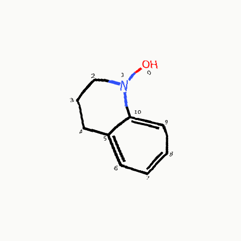 ON1CCCc2ccccc21